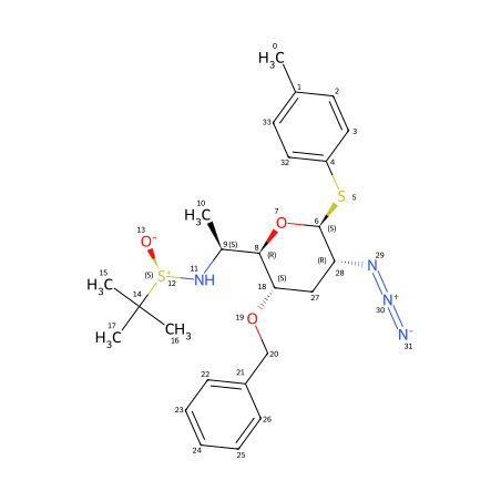 Cc1ccc(S[C@@H]2O[C@H]([C@H](C)N[S@+]([O-])C(C)(C)C)[C@@H](OCc3ccccc3)C[C@H]2N=[N+]=[N-])cc1